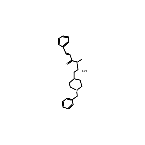 CN(CCC1CCN(Cc2ccccc2)CC1)C(=O)C=Cc1ccccc1.Cl